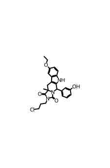 CCOc1ccc2[nH]c3c(c2c1)CC1(C)C(=O)N(CCCCl)C(=O)N1C3c1cccc(O)c1